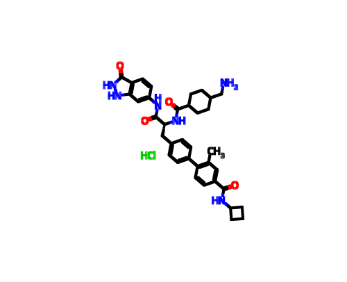 Cc1cc(C(=O)NC2CCC2)ccc1-c1ccc(C[C@H](NC(=O)C2CCC(CN)CC2)C(=O)Nc2ccc3c(=O)[nH][nH]c3c2)cc1.Cl